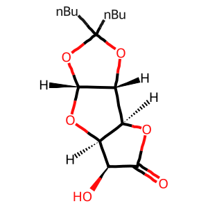 CCCCC1(CCCC)O[C@H]2O[C@H]3[C@H](OC(=O)[C@H]3O)[C@H]2O1